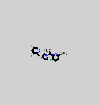 COc1ccc(F)c(C(C)N2CC[C@H](Cc3ncc(F)cc3F)C2)n1